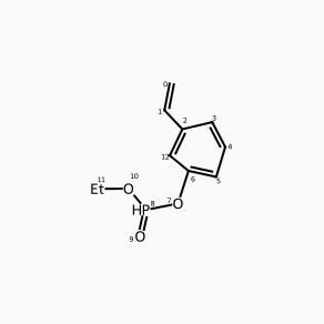 C=Cc1cccc(O[PH](=O)OCC)c1